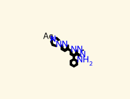 CC(=O)N1CCCN(c2ccc(-c3cc(C4CCCCC4)c4c(N)ncnc4n3)cn2)CC1